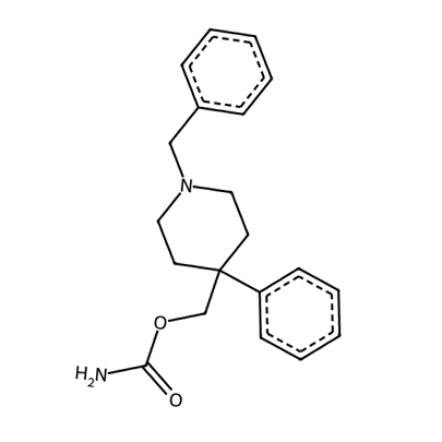 NC(=O)OCC1(c2ccccc2)CCN(Cc2ccccc2)CC1